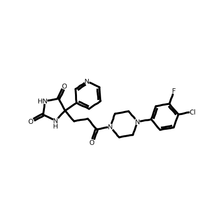 O=C1NC(=O)C(CCC(=O)N2CCN(c3ccc(Cl)c(F)c3)CC2)(c2cccnc2)N1